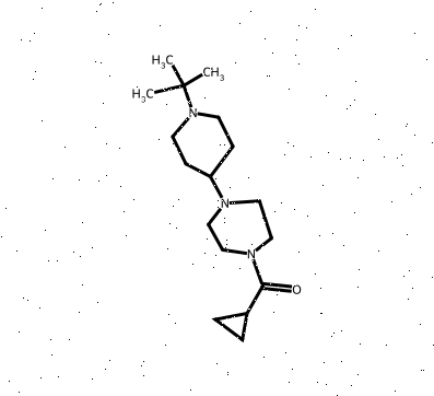 CC(C)(C)N1CCC(N2CCN(C(=O)C3CC3)CC2)CC1